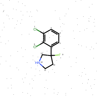 FC1(c2cccc(Cl)c2Cl)CCNC1